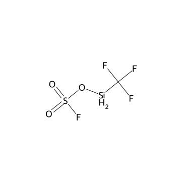 O=S(=O)(F)O[SiH2]C(F)(F)F